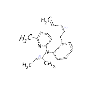 C=C/C=C\Cc1ccccc1N(/C(C)=C/C)c1cccc(C)n1